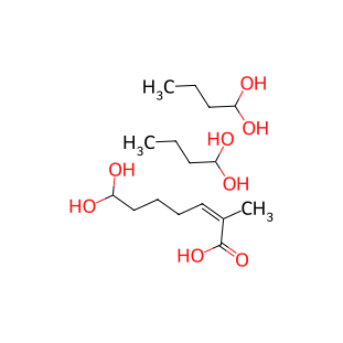 CC(=CCCCC(O)O)C(=O)O.CCCC(O)O.CCCC(O)O